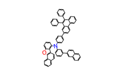 c1ccc(-c2c(-c3ccccc3)c3cc(-c4ccc(N(c5cccc(-c6ccc7ccccc7c6)c5)c5cccc6oc7c8ccccc8ccc7c56)cc4)ccc3c3ccccc23)cc1